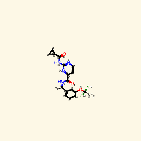 C[C@@H](NC(=O)c1ccnc(NC(=O)C2CC2)n1)c1cccc(OC(F)(F)C(F)(F)F)c1